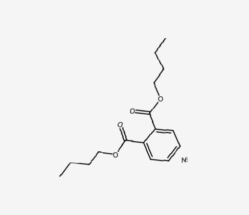 CCCCOC(=O)c1ccccc1C(=O)OCCCC.[N]